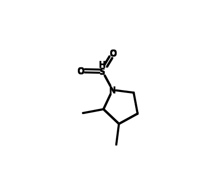 CC1CCN([SH](=O)=O)C1C